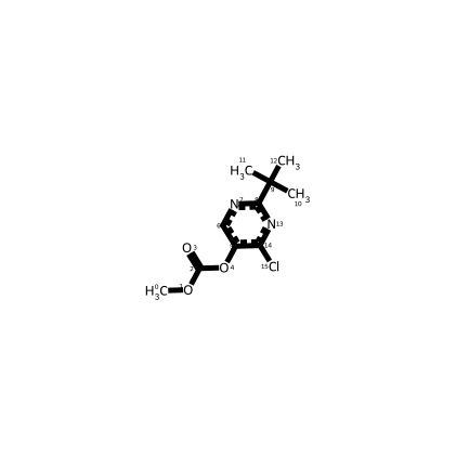 COC(=O)Oc1cnc(C(C)(C)C)nc1Cl